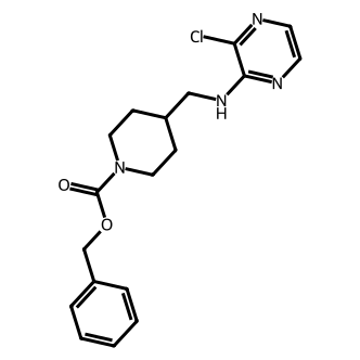 O=C(OCc1ccccc1)N1CCC(CNc2nccnc2Cl)CC1